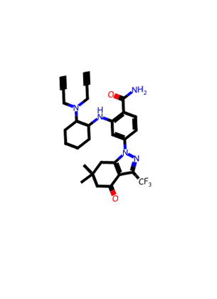 C#CCN(CC#C)C1CCCCC1Nc1cc(-n2nc(C(F)(F)F)c3c2CC(C)(C)CC3=O)ccc1C(N)=O